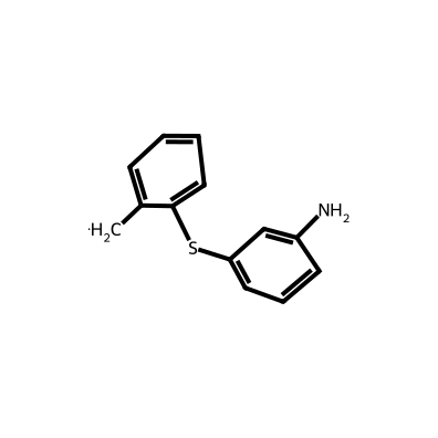 [CH2]c1ccccc1Sc1cccc(N)c1